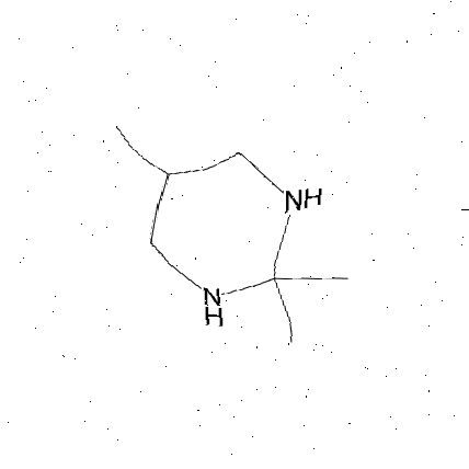 CC1CNC(C)(C)NC1